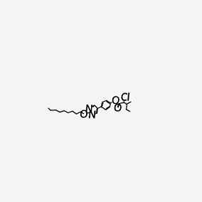 CCCCCCCCCOc1ncc(-c2ccc(OC(=O)[C@@H](Cl)C(C)CC)cc2)cn1